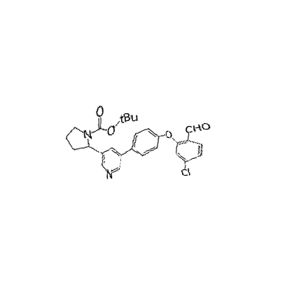 CC(C)(C)OC(=O)N1CCCC1c1cncc(-c2ccc(Oc3cc(Cl)ccc3C=O)cc2)c1